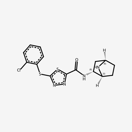 O=C(N[C@@H]1C[C@H]2CC[C@@H]1N2)c1nnc(Sc2ccccc2Cl)s1